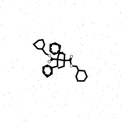 CCC(Cc1ccccc1)(C(=O)OCC1CCCCC1)C(CC)(Cc1ccccc1)C(=O)OCC1CCCCC1